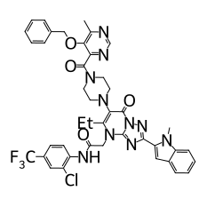 CCc1c(N2CCN(C(=O)c3ncnc(C)c3OCc3ccccc3)CC2)c(=O)n2nc(-c3cc4ccccc4n3C)nc2n1CC(=O)Nc1ccc(C(F)(F)F)cc1Cl